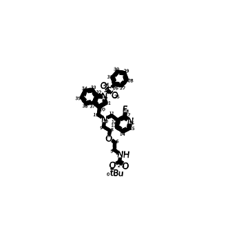 CC(C)(C)OC(=O)NCCOCCN(Cc1cccnc1F)Cc1cn(S(=O)(=O)c2ccccc2)c2ccccc12